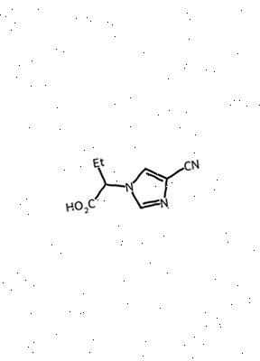 CCC(C(=O)O)n1cnc(C#N)c1